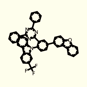 FC(F)(F)c1ccc2c3ccccc3n(-c3ccc(-c4ccc5oc6ccccc6c5c4)cc3-c3nc(-c4ccccc4)nc(-c4ccccc4)n3)c2c1